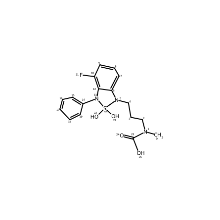 CN(CCCN1c2cccc(F)c2N(c2ccccc2)S1(O)O)C(=O)O